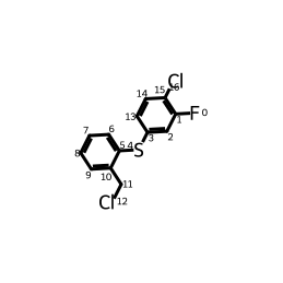 Fc1cc(Sc2ccccc2CCl)ccc1Cl